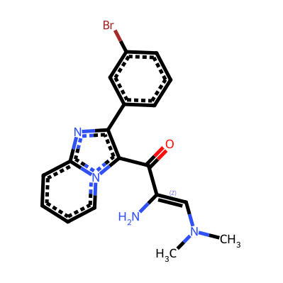 CN(C)/C=C(\N)C(=O)c1c(-c2cccc(Br)c2)nc2ccccn12